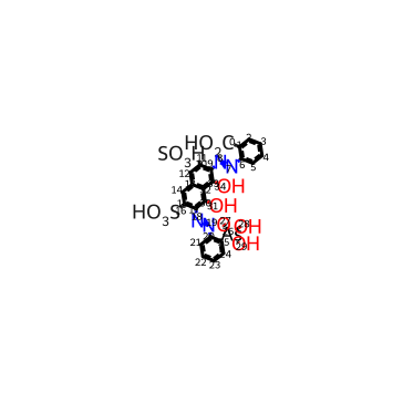 O=C(O)c1ccccc1/N=N/c1c(S(=O)(=O)O)cc2cc(S(=O)(=O)O)c(/N=N/c3ccccc3[As](=O)(O)O)c(O)c2c1O